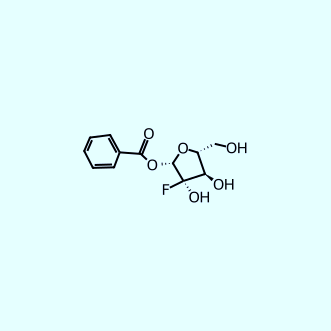 O=C(O[C@@H]1O[C@H](CO)[C@@H](O)[C@@]1(O)F)c1ccccc1